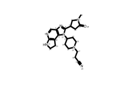 CN1CC(c2nc3cnc4c(c3n2C2CCN(CCC#N)CC2)CCN4)CC1=O